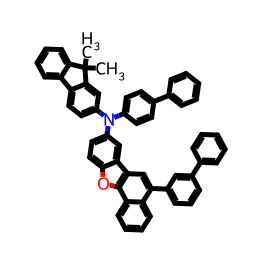 CC1(C)c2ccccc2-c2ccc(N(c3ccc(-c4ccccc4)cc3)c3ccc4oc5c6ccccc6c(-c6cccc(-c7ccccc7)c6)cc5c4c3)cc21